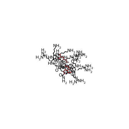 NCCCC[C@H](NC(=O)[C@H](CCCN=C(N)N)NC(=O)CNC(=O)[C@@H](N)Cc1ccc(O)cc1)C(=O)N[C@@H](CCCCN)C(=O)N[C@@H](CCCN=C(N)N)C(=O)N[C@@H](CCCN=C(N)N)C(=O)N[C@@H](CCC(N)=O)C(=O)N[C@@H](CCCN=C(N)N)C(=O)N[C@@H](CCCN=C(N)N)C(=O)N[C@@H](CCCN=C(N)N)C(=O)N[C@@H](CS)C(N)=O